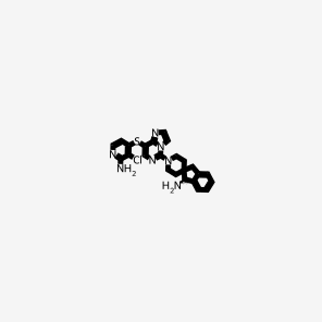 Nc1nccc(Sc2cnc(N3CCC4(CC3)Cc3ccccc3[C@H]4N)n3ccnc23)c1Cl